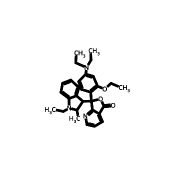 CCOc1cc(N(CC)CC)ccc1C1(C2c3ccccc3N(CC)C2C)OC(=O)c2cccnc21